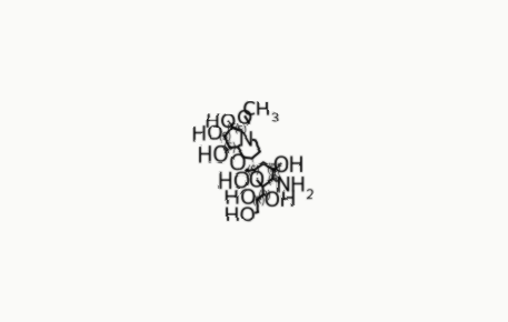 COC[C@H]1[C@H](O)[C@@H](O)[C@@H](O)C2CC([C@]3(C(=O)O)C[C@@H](O)[C@@H](N)C([C@H](O)[C@H](O)CO)O3)CCN21